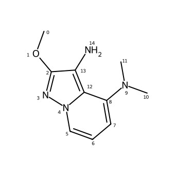 COc1nn2cccc(N(C)C)c2c1N